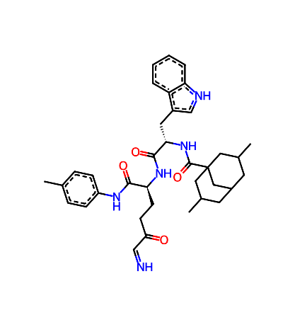 Cc1ccc(NC(=O)[C@H](CCC(=O)C=N)NC(=O)[C@H](Cc2c[nH]c3ccccc23)NC(=O)C23CC(C)CC(CC(C)C2)C3)cc1